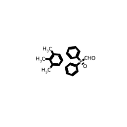 Cc1cccc(C)c1C.O=CP(=O)(c1ccccc1)c1ccccc1